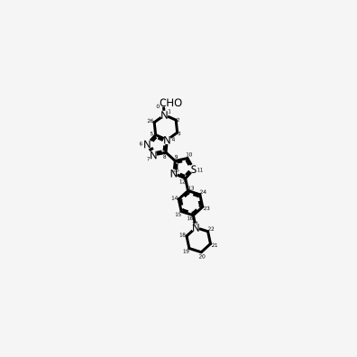 O=CN1CCn2c(nnc2-c2csc(-c3ccc(N4CCCCC4)cc3)n2)C1